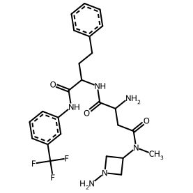 CN(C(=O)CC(N)C(=O)NC(CCc1ccccc1)C(=O)Nc1cccc(C(F)(F)F)c1)C1CN(N)C1